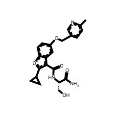 Cc1ccc(COc2ccc3oc(C4CC4)c(C(=O)N[C@@H](CO)C(N)=O)c3c2)cn1